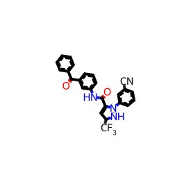 N#Cc1cccc(N2NC(C(F)(F)F)C=C2C(=O)Nc2cccc(C(=O)c3ccccc3)c2)c1